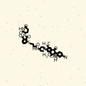 CCc1cc2c(cc1N1CCC(NC(=O)CCCSc3cccc4c3C(=O)N(C3CCC(=O)NC3=O)C4=O)CC1)C(C)(C)c1[nH]c3cc(C#N)ccc3c1C2=O